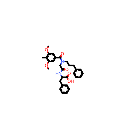 COc1cc(C(=O)N(CCCc2ccccc2)CC(=O)NC(Cc2ccccc2)C(=O)O)cc(OC)c1C